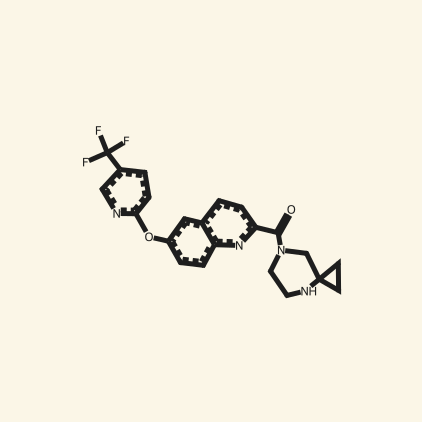 O=C(c1ccc2cc(Oc3ccc(C(F)(F)F)cn3)ccc2n1)N1CCNC2(CC2)C1